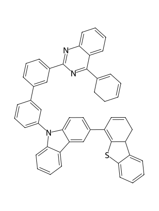 C1=CCCC(c2nc(-c3cccc(-c4cccc(-n5c6ccccc6c6cc(C7=C8Sc9ccccc9C8CC=C7)ccc65)c4)c3)nc3ccccc23)=C1